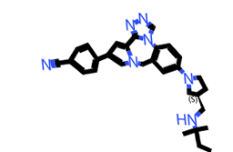 CCC(C)(C)NC[C@@H]1CCN(c2ccc3c(c2)Cn2cc(-c4ccc(C#N)cc4)cc2-c2nncn2-3)C1